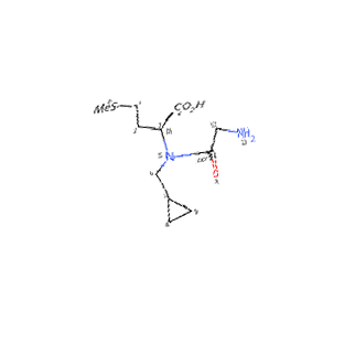 CSCC[C@@H](C(=O)O)N(CC1CC1)C(=O)CN